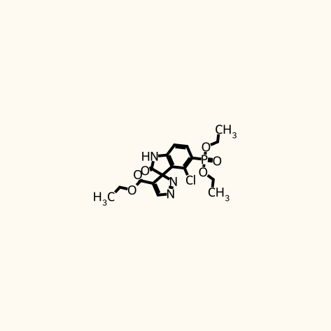 CCOC(=O)C1=CN=NC12C(=O)Nc1ccc(P(=O)(OCC)OCC)c(Cl)c12